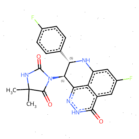 CC1(C)NC(=O)N([C@@H]2c3n[nH]c(=O)c4cc(F)cc(c34)N[C@H]2c2ccc(F)cc2)C1=O